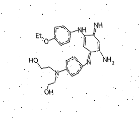 CCOc1ccc(NC2=CC(=Nc3ccc(N(CCO)CCO)cc3)C(N)=CC2=N)cc1